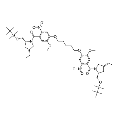 C/C=C1\C[C@@H](CO[Si](C)(C)C(C)(C)C)N(C(=O)c2cc(OC)c(OCCCCCOc3cc([N+](=O)[O-])c(C(=O)N4C/C(=C/C)C[C@H]4CO[Si](C)(C)C(C)(C)C)cc3OC)cc2[N+](=O)[O-])C1